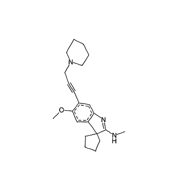 CNC1=Nc2cc(C#CCN3CCCCC3)c(OC)cc2C12CCCC2